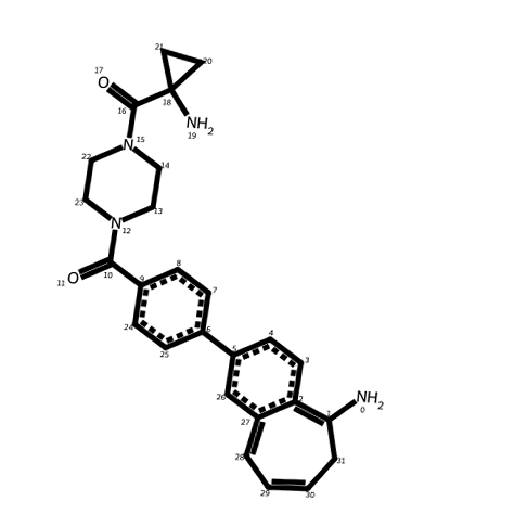 NC1=c2ccc(-c3ccc(C(=O)N4CCN(C(=O)C5(N)CC5)CC4)cc3)cc2=CC=CC1